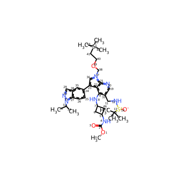 COC(=O)NC1CC(Nc2c(CN[S+]([O-])C(C)(C)C)cnc3c2c(-c2ccc4c(cnn4C(C)C)c2)cn3COCC[Si](C)(C)C)C1